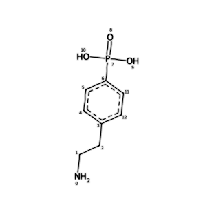 NCCc1ccc(P(=O)(O)O)cc1